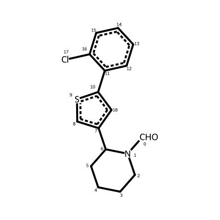 O=CN1CCCCC1c1csc(-c2ccccc2Cl)c1